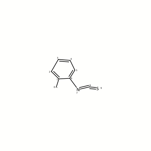 [CH2]c1ccccc1N=C=S